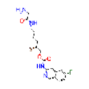 NCC(=O)NCCCCC(=S)COC(=O)Nc1cc2cc(F)ccc2cn1